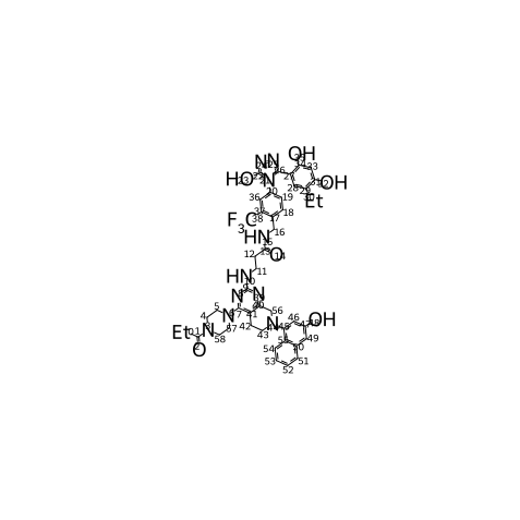 CCC(=O)N1CCN(c2nc(NCCC(=O)NCc3ccc(-n4c(O)nnc4-c4cc(CC)c(O)cc4O)cc3C(F)(F)F)nc3c2CCN(c2cc(O)cc4ccccc24)C3)CC1